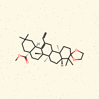 C=CC1=C2[C@@H]3CC(C)(C)CC[C@]3(C(=O)OC)CC[C@@]2(C)[C@]2(C)CC[C@H]3C(C)(C)C4(CC[C@]3(C)C2C1)OCCO4